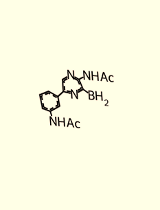 Bc1nc(-c2cccc(NC(C)=O)c2)cnc1NC(C)=O